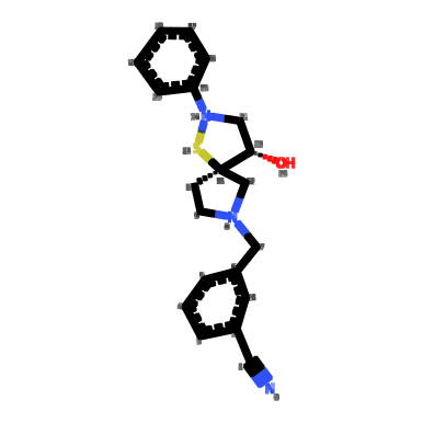 N#Cc1cccc(CN2CC[C@]3(C2)SN(c2ccccc2)C[C@@H]3O)c1